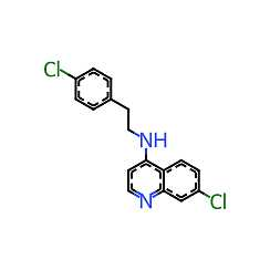 Clc1ccc(CCNc2ccnc3cc(Cl)ccc23)cc1